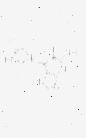 Nc1nc2nc[nH]c2c(=O)[nH]1.c1c[nH]cn1